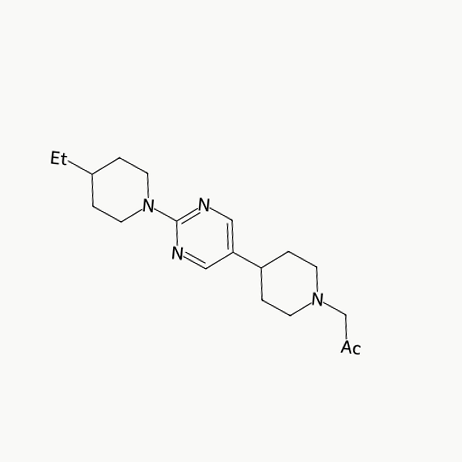 CCC1CCN(c2ncc(C3CCN(CC(C)=O)CC3)cn2)CC1